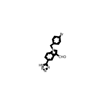 O=Cc1cn(Cc2ccc(Br)cc2)c2ccc(-c3nnn[nH]3)cc12